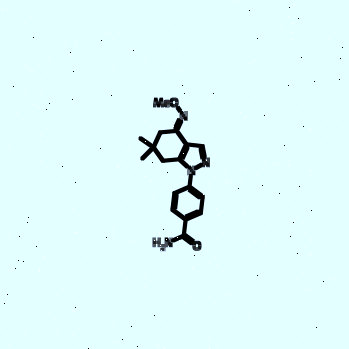 CON=C1CC(C)(C)Cc2c1cnn2-c1ccc(C(N)=O)cc1